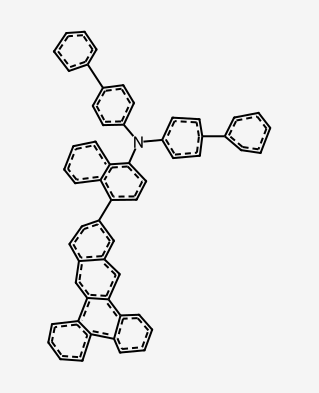 c1ccc(-c2ccc(N(c3ccc(-c4ccccc4)cc3)c3ccc(-c4ccc5cc6c7ccccc7c7ccccc7c6cc5c4)c4ccccc34)cc2)cc1